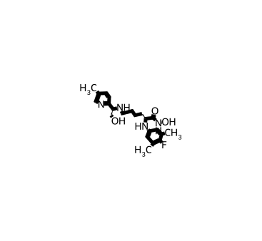 Cc1ccc([C@@H](CO)NCCCC[C@@H](Nc2cc(C)c(F)c(C)c2)C(=O)NO)nc1